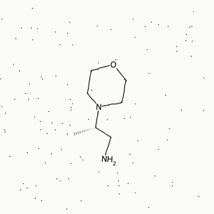 C[C@@H](CN)N1CCOCC1